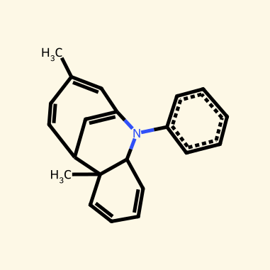 CC1=CC2=CC(C=C1)C1(C)C=CC=CC1N2c1ccccc1